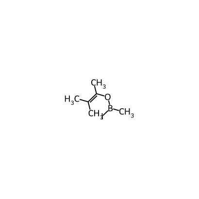 CB(I)OC(C)=C(C)C